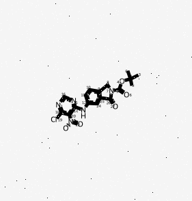 CC(C)(C)OC(=O)N1Cc2ccc(Nc3ncnc(Cl)c3[N+](=O)[O-])cc2C1=O